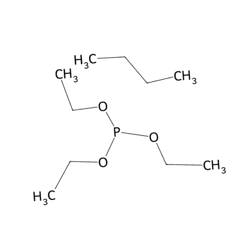 CCCC.CCOP(OCC)OCC